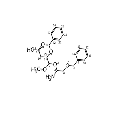 COC(OC(N)COCc1ccccc1)[C@H](CC(=O)O)OCc1ccccc1